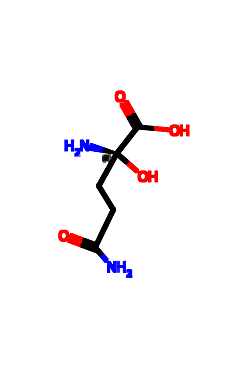 NC(=O)CC[C@@](N)(O)C(=O)O